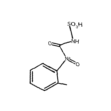 Cc1ccccc1[N+](=O)C(=O)NS(=O)(=O)O